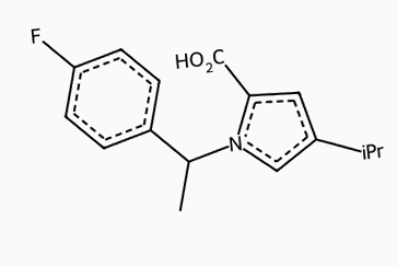 CC(C)c1cc(C(=O)O)n(C(C)c2ccc(F)cc2)c1